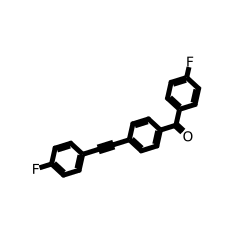 O=C(c1ccc(F)cc1)c1ccc(C#Cc2ccc(F)cc2)cc1